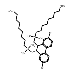 CCCCCCCCCCCCCCCCCC[Si](C)(C)O[C@H]1c2cc(Br)ccc2-c2ccc(Br)cc2[C@@H]1O[Si](C)(C)CCCCCCCCCCCCCCCCCC